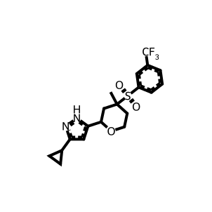 CC1(S(=O)(=O)c2cccc(C(F)(F)F)c2)CCOC(c2cc(C3CC3)n[nH]2)C1